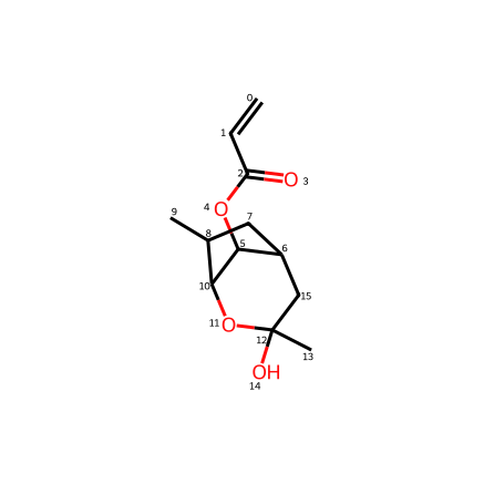 C=CC(=O)OC1C2CC(C)C1OC(C)(O)C2